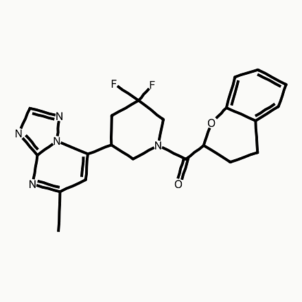 Cc1cc(C2CN(C(=O)C3CCc4ccccc4O3)CC(F)(F)C2)n2ncnc2n1